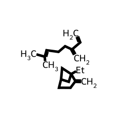 C=C1CCC2CC1(CC)C2.C=CC(=C)CCC=C(C)C